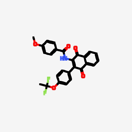 COc1ccc(C(=O)NC2=C(c3ccc(OC(C)(F)F)cc3)C(=O)c3ccccc3C2=O)cc1